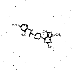 COc1ccc(NC(=O)N2CCN(c3nc(N)nc4c3cnn4C)[C@@H](C)C2)c(C)c1